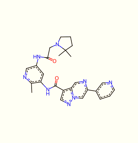 Cc1ncc(NC(=O)CN2CCCC2(C)C)cc1NC(=O)c1cnn2cc(-c3cccnc3)ncc12